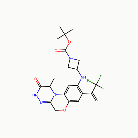 C=C(c1cc2c(cc1NC1CN(C(=O)OC(C)(C)C)C1)N1C(=NNC(=O)C1C)CO2)C(F)(F)F